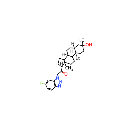 CC[C@]12CC[C@@](C)(O)C[C@H]1CC[C@H]1[C@@H]3CC[C@H](C(=O)Cn4nnc5ccc(F)cc54)[C@@]3(C)CC[C@@H]12